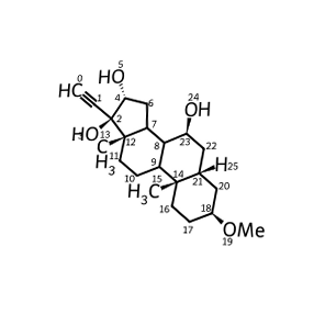 C#C[C@]1(O)[C@H](O)CC2C3C(CC[C@@]21C)[C@@]1(C)CC[C@H](OC)C[C@H]1C[C@@H]3O